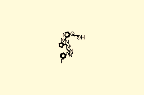 CN(Cc1ncnn1-c1cccc(F)c1)c1nc(-c2cc(OCCO)ccn2)nc2c1CCC2